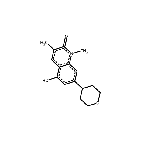 Cc1cc2c(O)cc(C3CCOCC3)cc2n(C)c1=O